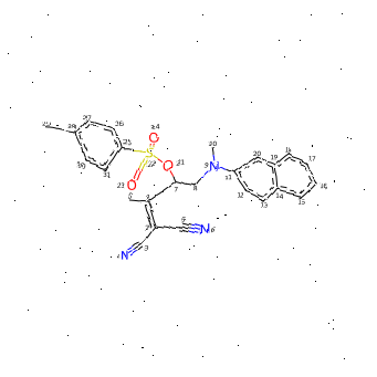 CC(=C(C#N)C#N)C(CN(C)c1ccc2ccccc2c1)OS(=O)(=O)c1ccc(C)cc1